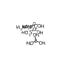 O=S(=O)(O)OO.O=S(=O)(O)OO.OB(O)O.[AlH3].[MgH2]